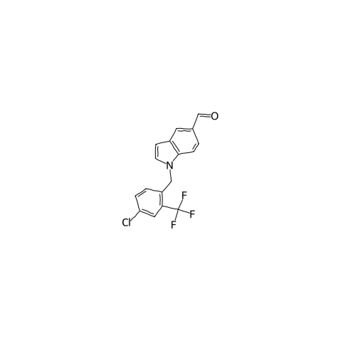 O=Cc1ccc2c(ccn2Cc2ccc(Cl)cc2C(F)(F)F)c1